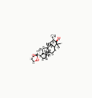 CC1(C)C(=O)[C@H](C#N)C[C@@]2(C)C1=CC[C@H]1[C@@H]3CC[C@H](C4(C)OCCO4)[C@@]3(C)CC[C@@H]12